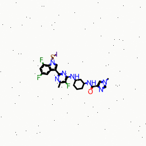 Cc1nc(-c2cn(SI)c3c(F)cc(F)cc23)nc(NC2CCCC(NC(=O)c3cn(C)cn3)C2)c1F